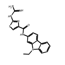 CCn1c2ccccc2c2ccc(NC(=O)c3csc(NC(=N)N)n3)cc21